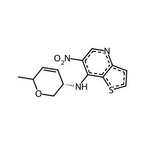 CC1C=C[C@H](Nc2c([N+](=O)[O-])cnc3ccsc23)CO1